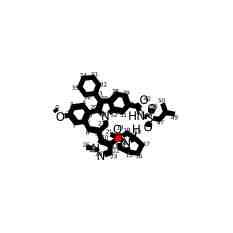 COc1ccc2c(c1)C=C(c1c(C(=O)N3C4CC[C@@H]3CN(C)C4)cnn1C)Cn1c-2c(C2CCCCC2)c2ccc(C(=O)NS(=O)(=O)CC(C)C)cc21